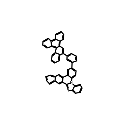 c1cc(-c2ccc3c(c2)c2cc4ccccc4cc2c2nc4ccccc4n32)cc(-c2cc3c4ccccc4c4ccccc4c3c3ccccc23)c1